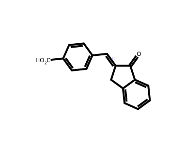 O=C(O)c1ccc(/C=C2\Cc3ccccc3C2=O)cc1